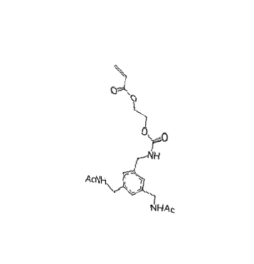 C=CC(=O)OCCOC(=O)NCc1cc(CNC(C)=O)cc(CNC(C)=O)c1